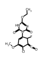 CCOc1nc(=O)n(C2=CC(OC)=C(Cl)C(=C=O)C2F)c(=O)[nH]1